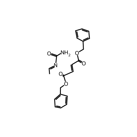 CC=NC(N)=O.O=C(/C=C/C(=O)OCc1ccccc1)OCc1ccccc1